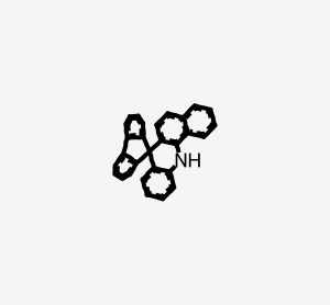 c1ccc2c(c1)Nc1c(ccc3ccccc13)C21c2ccccc2-c2ccccc21